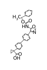 C[C@@H](OC(=O)Nc1ocnc1-c1ccc(-c2ccc(C3(C(=O)O)CC3)cc2)cc1)c1ccccc1